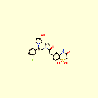 CN(C[C@@H](c1cccc(F)c1)N1CC[C@H](O)C1)C(=O)Cc1ccc2c(c1)NC(=O)CS2(O)O